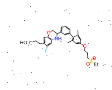 CCS(=O)(=O)CCCOc1cc(C)c(-c2cccc(C3COc4cc(CCC(=O)O)c(F)cc4N3)c2)c(C)c1